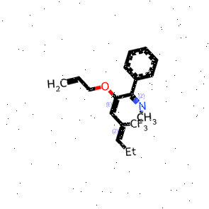 C=CCOC(=C/C(=C/CC)C(F)(F)F)/C(=N\C)c1ccccc1